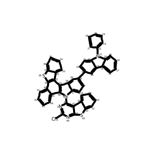 Clc1nc(-n2c3ccc(-c4ccc5c(c4)c4ccccc4n5-c4ccccc4)cc3c3c4c5ccccc5sc4c4ccccc4c32)c2c(n1)sc1ccccc12